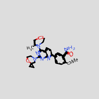 COc1ccc(-c2ccc3c(N4CCOC[C@@H]4C)nc(N4CCOC5(CC5)C4)nc3n2)cc1C(N)=O